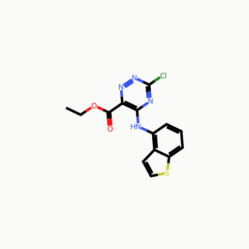 CCOC(=O)c1nnc(Cl)nc1Nc1cccc2sccc12